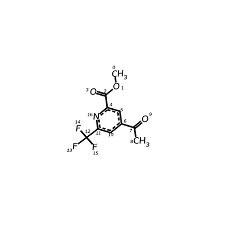 COC(=O)c1cc(C(C)=O)cc(C(F)(F)F)n1